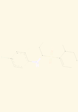 C=CC(Nc1ccc(F)cc1Cl)S(=O)(=O)C1=CCCCC1C(=O)O